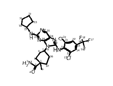 CC1(C(N)=O)CCC(n2c(Nc3c(Cl)cc(C(F)(F)F)cc3Cl)nc3cnc(NC4CCCC4)nc32)CC1